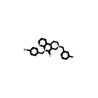 O=c1c2c(c3cccnc3n1Cc1ccc(Br)cc1)CCN(Cc1cccc(F)c1)C2